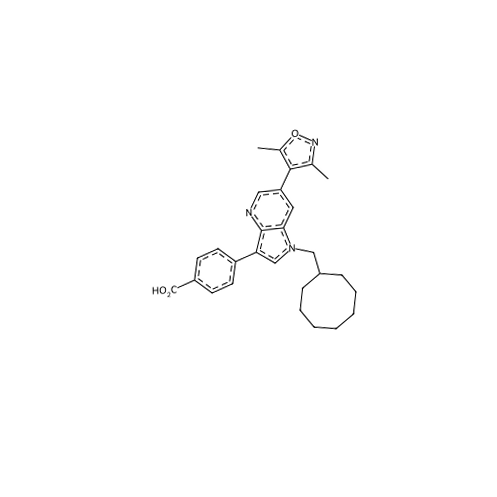 Cc1noc(C)c1-c1cnc2c(-c3ccc(C(=O)O)cc3)cn(CC3CCCCCCC3)c2c1